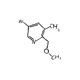 COCc1ncc(Br)cc1C